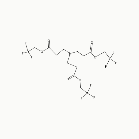 O=C(CCN(CCC(=O)OCC(F)(F)F)CCC(=O)OCC(F)(F)F)OCC(F)(F)F